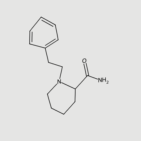 NC(=O)C1CCCCN1CCc1ccccc1